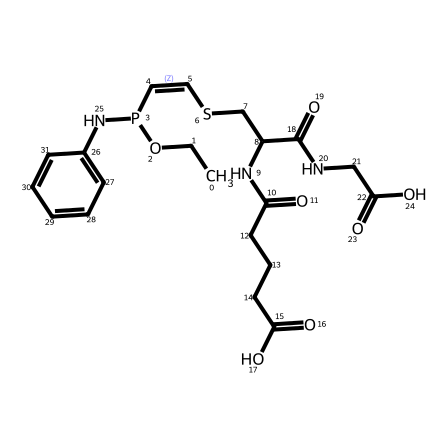 CCOP(/C=C\SCC(NC(=O)CCCC(=O)O)C(=O)NCC(=O)O)Nc1ccccc1